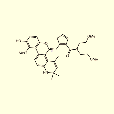 COCCN(CCOC)C(=O)c1ccsc1/C=C1\Oc2ccc(O)c(OC)c2-c2ccc3c(c21)C(C)=CC(C)(C)N3